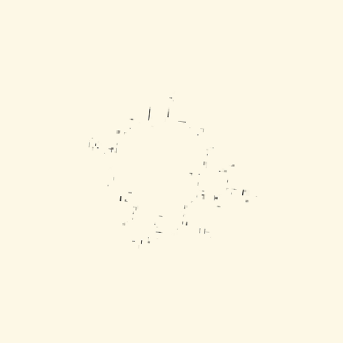 Cc1cc(C)c2cc1C(=O)NCCN(C)CCNC(=O)CCSc1cc-2nc(N)n1